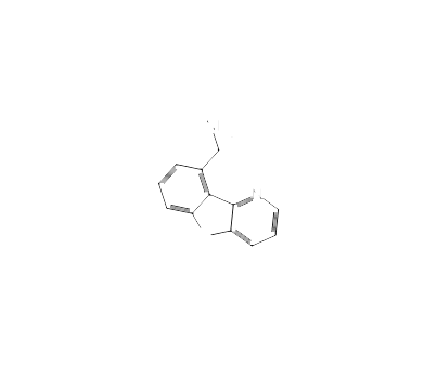 NCc1cccc2sc3cccnc3c12